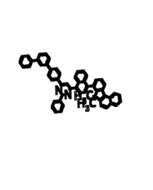 CC1(C)c2ccc3ccccc3c2-c2cccc(-c3ccc(-c4cc(-c5ccc(-c6cccc(-c7ccccc7)c6)cc5)nc(-c5ccccc5)n4)c4ccccc34)c21